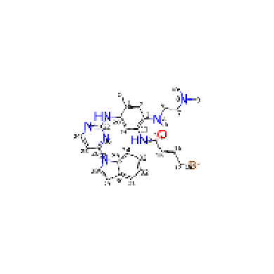 Cc1cc(N(C)CCN(C)C)c(NC(=O)/C=C/CBr)cc1Nc1nccc(-n2ccc3ccccc32)n1